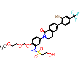 COCCOCOc1ccc(N2CCc3cc(-c4ccc(C(F)(F)F)cc4Br)ccc3C2=O)cc1NS(=O)(=O)CCO